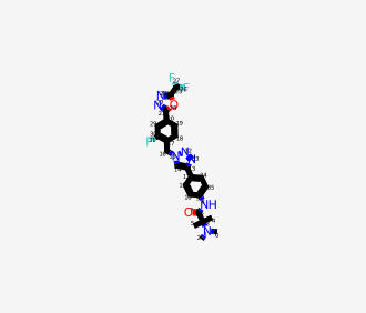 CN(C)C(C)(C)C(=O)Nc1ccc(-c2cn(Cc3ccc(-c4nnc(C(F)F)o4)cc3F)nn2)cc1